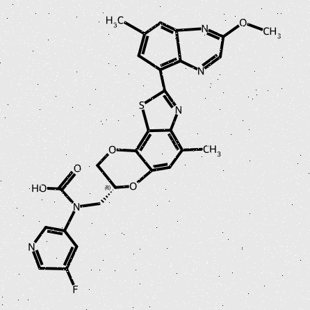 COc1cnc2c(-c3nc4c(C)cc5c(c4s3)OC[C@@H](CN(C(=O)O)c3cncc(F)c3)O5)cc(C)cc2n1